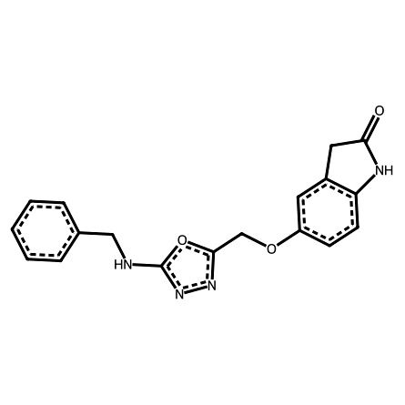 O=C1Cc2cc(OCc3nnc(NCc4ccccc4)o3)ccc2N1